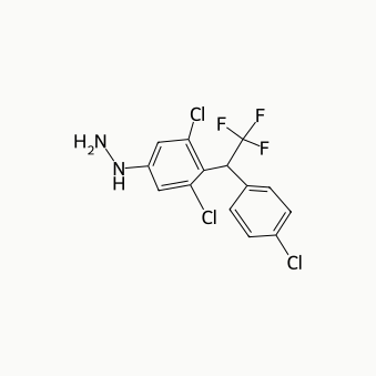 NNc1cc(Cl)c(C(c2ccc(Cl)cc2)C(F)(F)F)c(Cl)c1